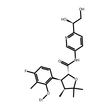 CCOc1c([C@H]2[C@H](C(=O)Nc3ccc([C@@H](O)CO)nc3)OC(C)(C)[C@H]2C)ccc(F)c1C